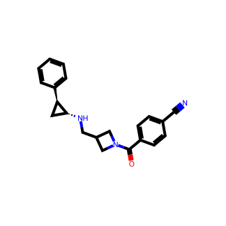 N#Cc1ccc(C(=O)N2CC(CN[C@@H]3C[C@H]3c3ccccc3)C2)cc1